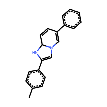 Cc1ccc(C2=CN3C=C(c4ccccc4)C=CC3N2)cc1